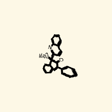 C=C(C(=O)C(OC)(c1ccccc1)c1ccc2ccccc2n1)c1ccccc1